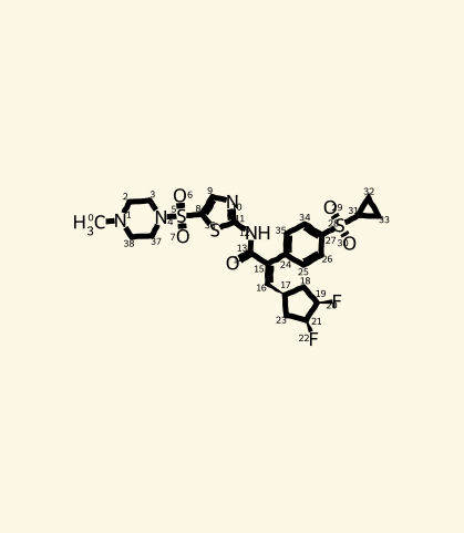 CN1CCN(S(=O)(=O)c2cnc(NC(=O)/C(=C/[C@H]3C[C@@H](F)[C@@H](F)C3)c3ccc(S(=O)(=O)C4CC4)cc3)s2)CC1